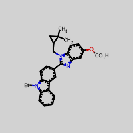 CCn1c2ccccc2c2cc(-c3nc4cc(OC(=O)O)ccc4n3CC3CC3(C)C)ccc21